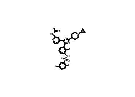 CC(=O)Nc1cc(-c2sc(C3CCN(C4CC4)CC3)nc2-c2cccc(NS(=O)(=O)c3cc(F)ccc3F)c2F)ccn1